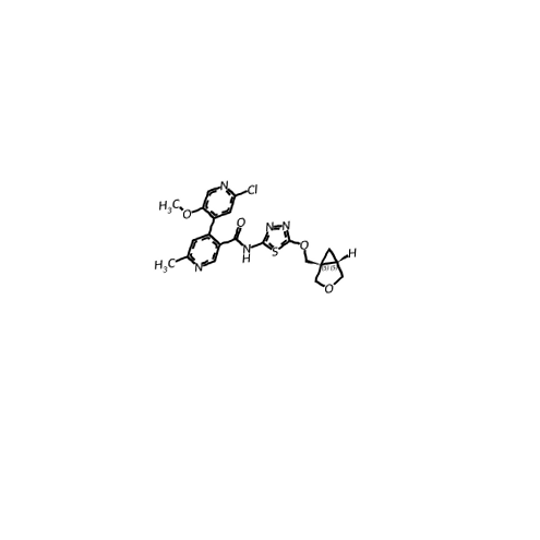 COc1cnc(Cl)cc1-c1cc(C)ncc1C(=O)Nc1nnc(OC[C@]23COC[C@H]2C3)s1